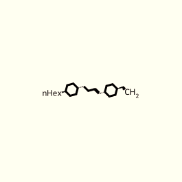 C=C[C@H]1CC[C@H](C=CCC[C@H]2CC[C@H](CCCCCC)CC2)CC1